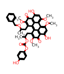 COc1c(CC(C)OCc2ccccc2)c2c3c(CC(C)OC(=O)Oc4ccc(O)cc4)c(OC)c(=O)c4c(O)cc(OC)c(c5c(OC)cc(O)c(c1=O)c52)c43